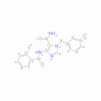 NC(=O)c1c(NC(=O)c2ccccc2F)ncn1Cc1cccc(Cl)c1